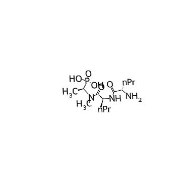 CCC[C@H](NC(=O)[C@@H](N)CCC)C(=O)N(C)[C@@H](C)P(=O)(O)O